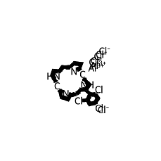 Clc1cc(Cl)c(-c2cc3cc4nc(cc5ccc(cc6nc(cc2[nH]3)C=C6)[nH]5)C=C4)c(Cl)c1.[Al+3].[Al+3].[Cl-].[Cl-].[Cl-].[Cl-].[Cl-].[Cl-]